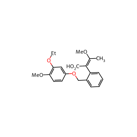 CCOc1cc(OCc2ccccc2C(C(=O)O)=C(C)OC)ccc1OC